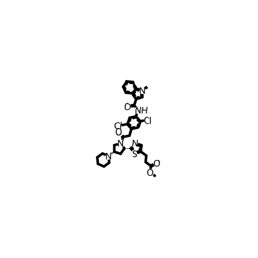 COC(=O)CCc1cnc([C@@H]2C[C@H](N3CCCCC3)CN2C(=O)Cc2cc(Cl)c(NC(=O)c3cn(C)c4ccccc34)cc2Cl)s1